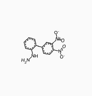 NNc1ccccc1-c1ccc([N+](=O)[O-])c([N+](=O)[O-])c1